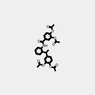 CC(=O)Oc1ccc(C(=O)Nc2ccccc2C(C)c2ccc(OC(C)=O)c(OC(C)=O)c2)cc1OC(C)=O